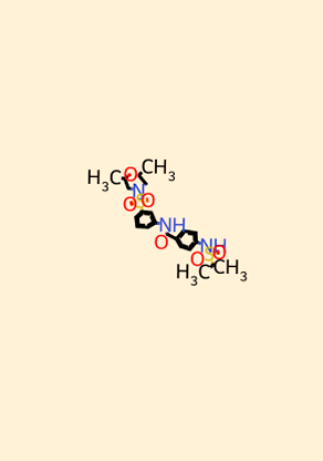 CC1CN(S(=O)(=O)c2cccc(NC(=O)c3ccc(NS(=O)(=O)C(C)C)cc3)c2)CC(C)O1